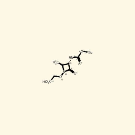 CC1[C@H](NC(=O)OC(C)(C)C)C(=O)N1OCC(=O)O